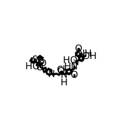 COc1cc(NC(=O)CCCN2CCC3(CC2)CC(OC(=O)C(O)(c2cccs2)c2cccs2)C3)c(Cl)cc1CNC[C@H](O)c1ccc(O)c2[nH]c(=O)ccc12